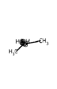 CC#CC#CC#CC#CC#CC#CC#CC(=O)OC(COP(=O)(O)O)OC(=O)CCCCCCCCCCCC